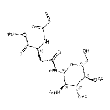 C=CC(=O)N[C@@H](CC(=O)N[C@@H]1O[C@H](CO)[C@@H](OC(C)=O)[C@H](OC(C)=O)[C@H]1NC(C)=O)C(=O)OC(C)(C)C